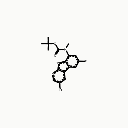 CN(C(=O)OC(C)(C)C)c1cc(F)cc2c1[nH]c1ncc(Cl)cc12